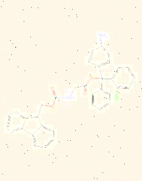 Nc1ccc(C(OC(=O)CNC(=O)OCC2c3ccccc3-c3ccccc32)(c2ccccc2)c2ccccc2Cl)cc1